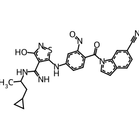 CC(CC1CC1)NC(=N)c1c(O)nsc1Nc1ccc(C(=O)n2ccc3ccc(C#N)cc32)c(N=O)c1